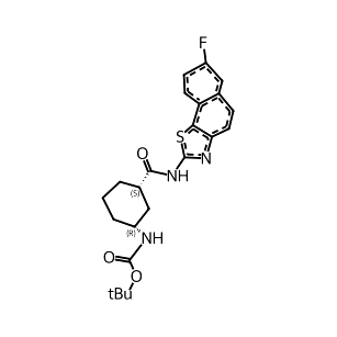 CC(C)(C)OC(=O)N[C@@H]1CCC[C@H](C(=O)Nc2nc3ccc4cc(F)ccc4c3s2)C1